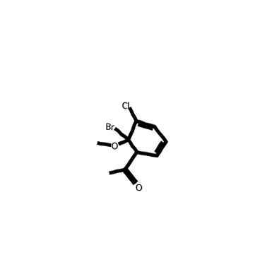 COC1(Br)C(Cl)=CC=CC1C(C)=O